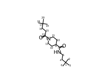 CC(C)(C)CCNC(=O)C1CCN(C(=O)CCC(C)(C)C)CC1